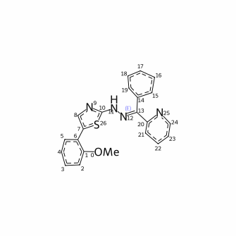 COc1ccccc1-c1cnc(N/N=C(\c2ccccc2)c2ccccn2)s1